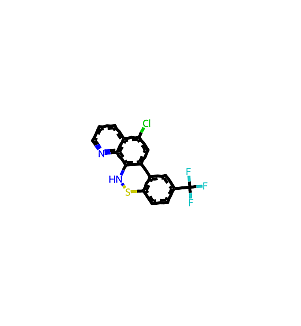 FC(F)(F)c1ccc2c(c1)-c1cc(Cl)c3cccnc3c1NS2